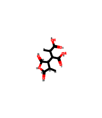 CC(C(=O)O)C(C(=O)O)C1C(=O)OC(=O)C1C